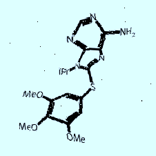 COc1cc(Sc2nc3c(N)ncnc3n2C(C)C)cc(OC)c1OC